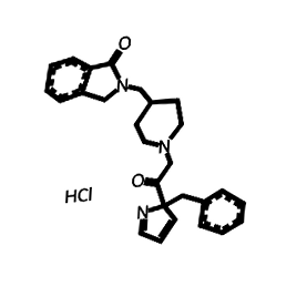 Cl.O=C1c2ccccc2CN1CC1CCN(CC(=O)C2(Cc3ccccc3)C=CC=N2)CC1